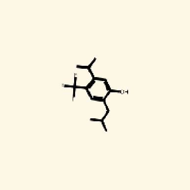 CC(C)Cc1cc(C(F)(F)F)c(C(C)C)cc1O